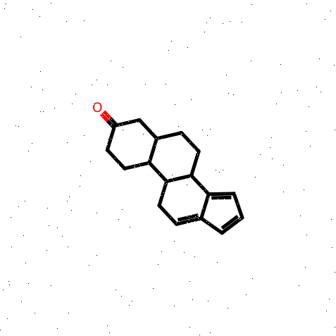 O=C1CCC2C(CCC3C4=CC=CC4=CCC32)C1